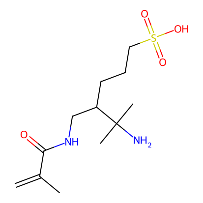 C=C(C)C(=O)NCC(CCCS(=O)(=O)O)C(C)(C)N